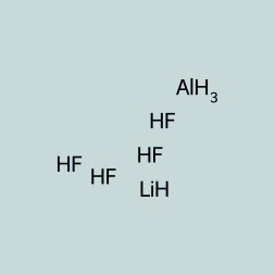 F.F.F.F.[AlH3].[LiH]